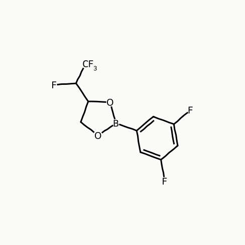 Fc1cc(F)cc(B2OCC(C(F)C(F)(F)F)O2)c1